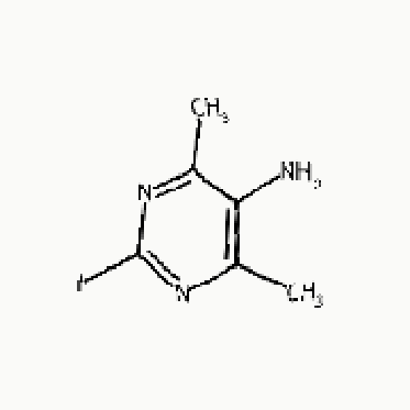 Cc1nc(I)nc(C)c1N